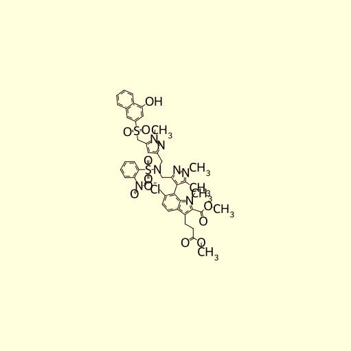 COC(=O)CCc1c(C(=O)OC)n(C)c2c(-c3c(CN(Cc4cc(CS(=O)(=O)c5cc(O)c6ccccc6c5)n(C)n4)S(=O)(=O)c4ccccc4[N+](=O)[O-])nn(C)c3C)c(Cl)ccc12